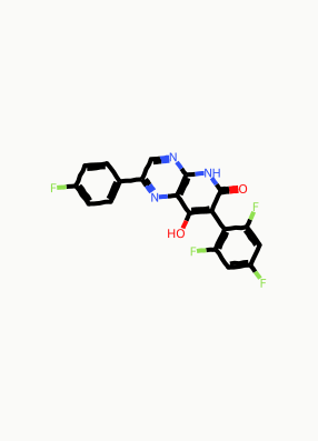 O=c1[nH]c2ncc(-c3ccc(F)cc3)nc2c(O)c1-c1c(F)cc(F)cc1F